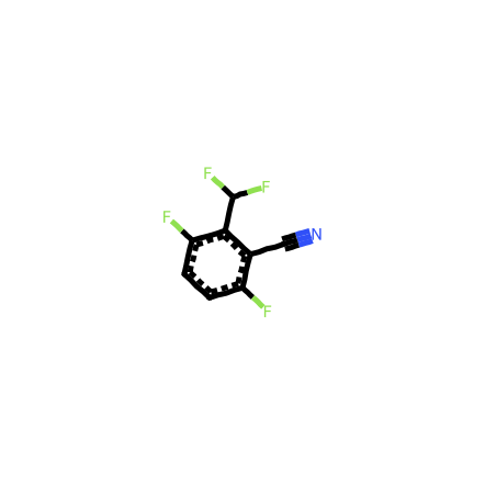 N#Cc1c(F)ccc(F)c1C(F)F